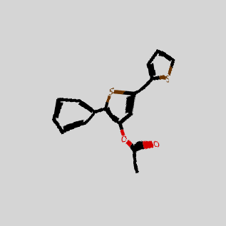 CC(=O)Oc1cc(-c2cccs2)sc1-c1ccccc1